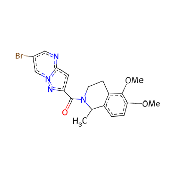 COc1ccc2c(c1OC)CCN(C(=O)c1cc3ncc(Br)cn3n1)C2C